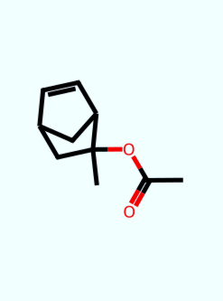 CC(=O)OC1(C)CC2C=CC1C2